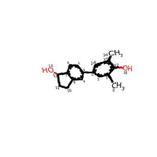 Cc1cc(-c2ccc3c(c2)CC[C@H]3O)cc(C)c1O